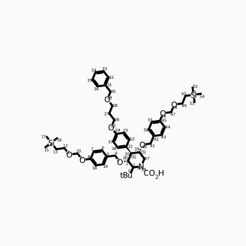 CC(C)(C)C1[C@H](OCc2ccc(OCOCC[Si](C)(C)C)cc2)[C@@H](c2ccc(OCCCOCc3ccccc3)cc2)[C@H](OCc2ccc(OCOCC[Si](C)(C)C)cc2)CN1C(=O)O